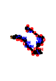 C=C1C[C@H]2C(O)N(C(=O)OCc3ccc(NC(=O)[C@H](C)NC(=O)[C@@H](NC(=O)CCOCCOCCNC(=O)CCN4C(=O)C=CC4=O)C(C)C)cc3)c3cc(OCCCC(=O)Nc4cn(C)c(C(=O)Nc5cc(C(=O)Nc6cc(C(O)n7ccc8cc(SC)ccc87)n(C)c6)n(C)c5)n4)c(OC)cc3C(=O)N2C1